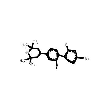 CCCCc1ccc(-c2ccc(C3CC(C)(C)NC(C)(C)C3)cc2F)c(F)c1